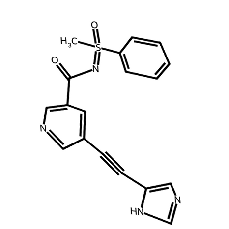 CS(=O)(=NC(=O)c1cncc(C#Cc2cnc[nH]2)c1)c1ccccc1